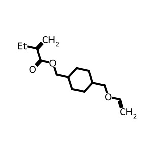 C=COCC1CCC(COC(=O)C(=C)CC)CC1